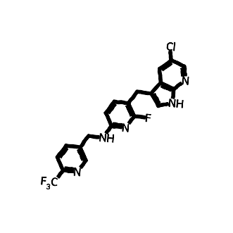 Fc1nc(NCc2ccc(C(F)(F)F)nc2)ccc1Cc1c[nH]c2ncc(Cl)cc12